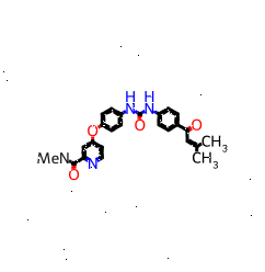 CNC(=O)c1cc(Oc2ccc(NC(=O)Nc3ccc(C(=O)C=C(C)C)cc3)cc2)ccn1